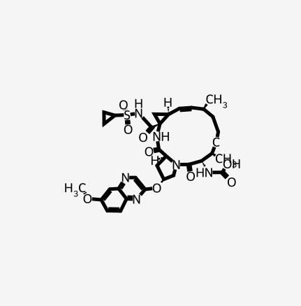 COc1ccc2nc(O[C@@H]3C[C@H]4C(=O)N[C@]5(C(=O)NS(=O)(=O)C6CC6)C[C@H]5/C=C\[C@@H](C)CCC[C@@H](C)[C@H](NC(=O)O)C(=O)N4C3)cnc2c1